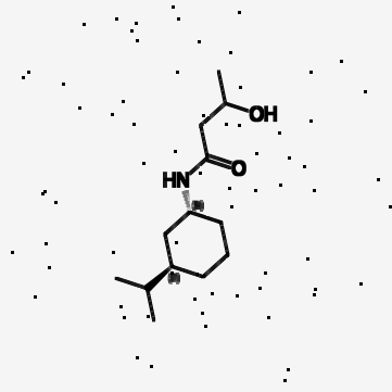 CC(O)CC(=O)N[C@@H]1CCC[C@@H](C(C)C)C1